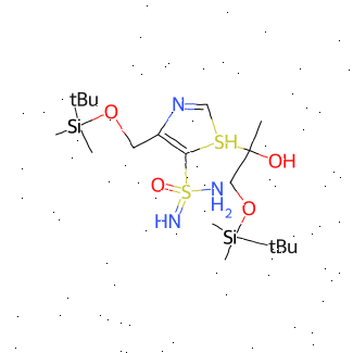 CC(O)(CO[Si](C)(C)C(C)(C)C)[SH]1C=NC(CO[Si](C)(C)C(C)(C)C)=C1S(=N)(N)=O